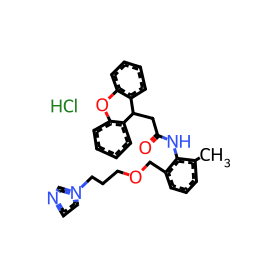 Cc1cccc(COCCCn2ccnc2)c1NC(=O)CC1c2ccccc2Oc2ccccc21.Cl